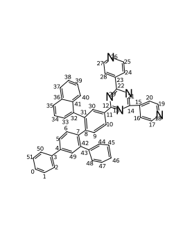 c1ccc(-c2ccc(-c3ccc(-c4nc(-c5ccncc5)nc(-c5ccncc5)n4)cc3-c3cccc4ccccc34)c(-c3ccccc3)c2)cc1